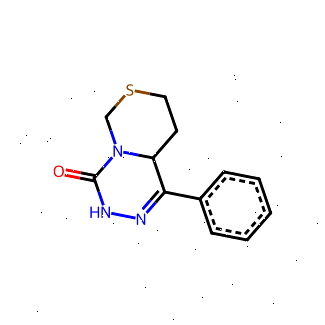 O=C1NN=C(c2ccccc2)C2CCSCN12